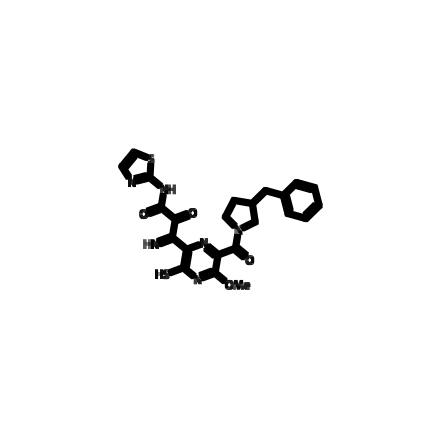 COc1nc(S)c(C(=N)C(=O)C(=O)Nc2nccs2)nc1C(=O)N1CCC(Cc2ccccc2)C1